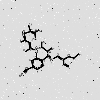 C=C/C(=C\N=C(\c1ccc(C#N)cc1O/C(C)=C/C(C)=N\C(C)=C(C)C)C(C)CC)CCC